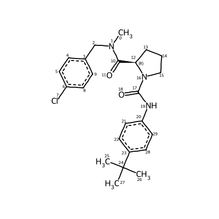 CN(Cc1ccc(Cl)cc1)C(=O)[C@H]1CCCN1C(=O)Nc1ccc(C(C)(C)C)cc1